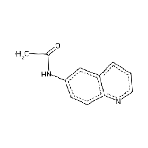 [CH2]C(=O)Nc1ccc2ncccc2c1